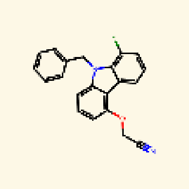 N#CCOc1cccc2c1c1cccc(F)c1n2Cc1ccccc1